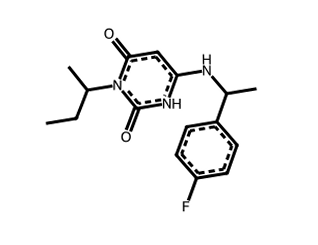 CCC(C)n1c(=O)cc(NC(C)c2ccc(F)cc2)[nH]c1=O